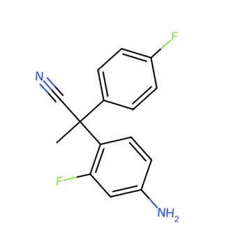 CC(C#N)(c1ccc(F)cc1)c1ccc(N)cc1F